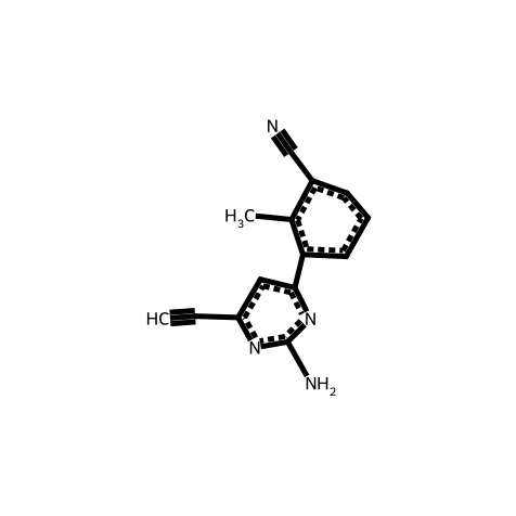 C#Cc1cc(-c2cccc(C#N)c2C)nc(N)n1